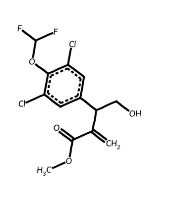 C=C(C(=O)OC)C(CO)c1cc(Cl)c(OC(F)F)c(Cl)c1